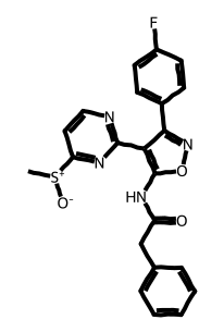 C[S+]([O-])c1ccnc(-c2c(-c3ccc(F)cc3)noc2NC(=O)Cc2ccccc2)n1